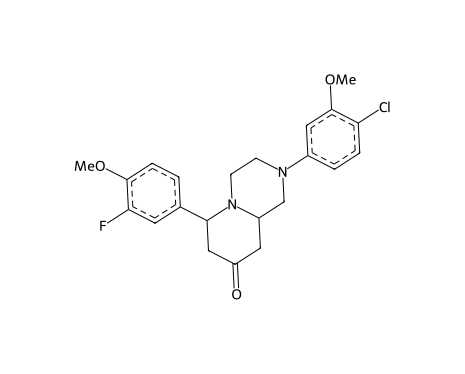 COc1ccc(C2CC(=O)CC3CN(c4ccc(Cl)c(OC)c4)CCN32)cc1F